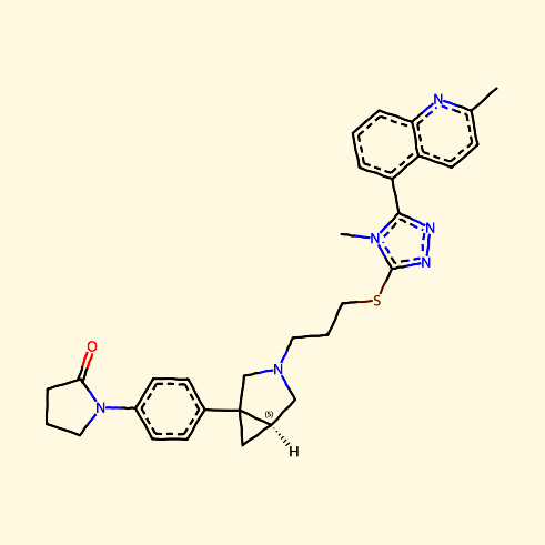 Cc1ccc2c(-c3nnc(SCCCN4C[C@H]5CC5(c5ccc(N6CCCC6=O)cc5)C4)n3C)cccc2n1